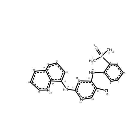 CP(C)(=O)c1ccccc1Nc1nc(Nc2cccc3cccnc23)ncc1Cl